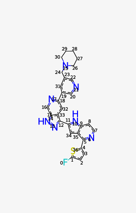 Fc1ccc(-c2nccc3[nH]c(-c4n[nH]c5cnc(-c6cncc(CN7CCCCC7)c6)cc45)cc23)s1